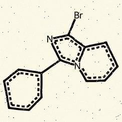 Brc1nc(-c2ccccc2)n2ccccc12